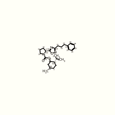 CC(C)[C@@H]1CC[C@@H](C)C[C@H]1OC(=O)N1CCC[C@H]1c1nc(CCCc2ccccc2)no1